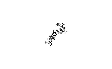 CCC(O)CNS(=O)(=O)c1ccc(Nc2ncc(Br)c(N[C@@H](CO)C(C)C)n2)cc1